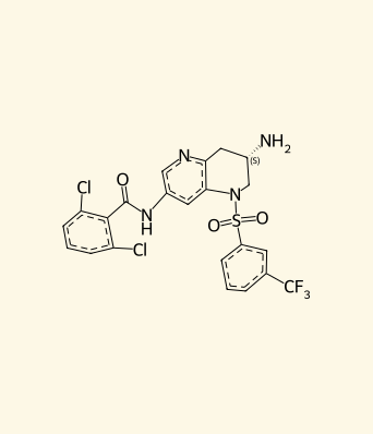 N[C@H]1Cc2ncc(NC(=O)c3c(Cl)cccc3Cl)cc2N(S(=O)(=O)c2cccc(C(F)(F)F)c2)C1